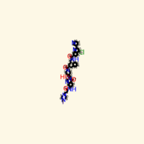 O=C(CCN1CCN(I)CC1)Nc1ccc2c(=O)n(CC3(O)CCN(C(=O)C(CCCNC(=O)c4ccc5c(Cl)cc(-c6cccnc6)nc5c4)Cc4ccccc4)CC3)cnc2c1